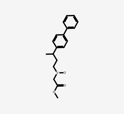 COC(=O)C[S+]([O-])CCC(C)c1ccc(-c2ccccc2)cc1